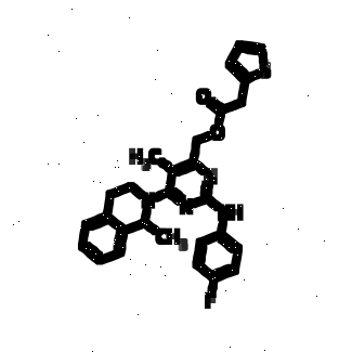 Cc1c(COC(=O)Cc2cccs2)nc(Nc2ccc(F)cc2)nc1N1CCc2ccccc2C1C